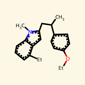 CCOc1ccc(C(C)Cc2cc3c(CC)cccc3n2C)cc1